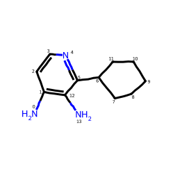 Nc1ccnc(C2CCCCC2)c1N